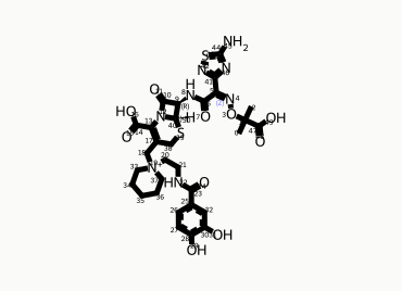 CC(C)(O/N=C(\C(=O)N[C@@H]1C(=O)N2C(C(=O)O)=C(C[N+]3(CCNC(=O)c4ccc(O)c(O)c4)CCCCC3)CS[C@H]12)c1nsc(N)n1)C(=O)O